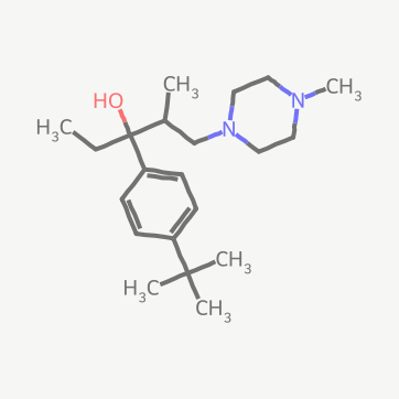 CCC(O)(c1ccc(C(C)(C)C)cc1)C(C)CN1CCN(C)CC1